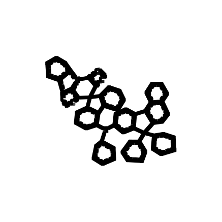 c1ccc(N(c2ccc3c(c2)C(c2ccccc2)(c2ccccc2)c2ccc4ccccc4c2-3)c2cccc3c2-c2ccccc2C32c3ccccc3-n3c4ccccc4c4cccc2c43)cc1